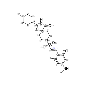 CNc1cc(C)c(/C=C/S(=O)(=O)N2CCC3(CC2)N=C(C2CCC(C)CC2)NC3=O)c(Cl)c1